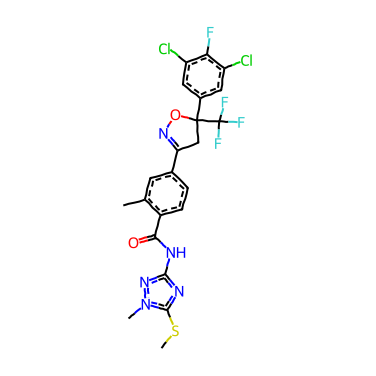 CSc1nc(NC(=O)c2ccc(C3=NOC(c4cc(Cl)c(F)c(Cl)c4)(C(F)(F)F)C3)cc2C)nn1C